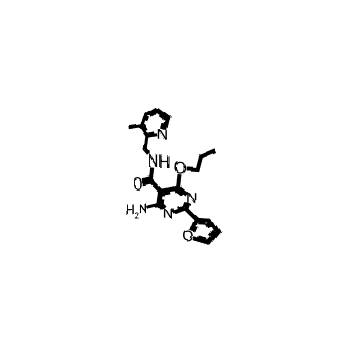 CCCOc1nc(-c2ccco2)nc(N)c1C(=O)NCc1ncccc1C